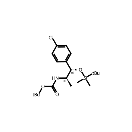 C[C@@H](NC(=O)OC(C)(C)C)[C@@H](O[Si](C)(C)C(C)(C)C)c1ccc(Cl)cc1